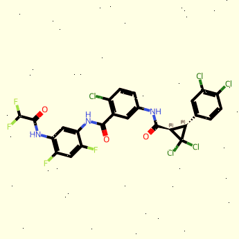 O=C(Nc1cc(NC(=O)C(F)F)c(F)cc1F)c1cc(NC(=O)[C@H]2[C@H](c3ccc(Cl)c(Cl)c3)C2(Cl)Cl)ccc1Cl